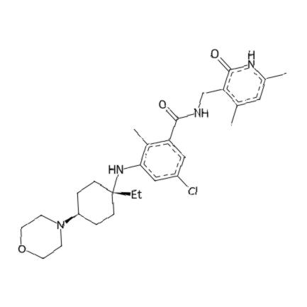 CC[C@]1(Nc2cc(Cl)cc(C(=O)NCc3c(C)cc(C)[nH]c3=O)c2C)CC[C@H](N2CCOCC2)CC1